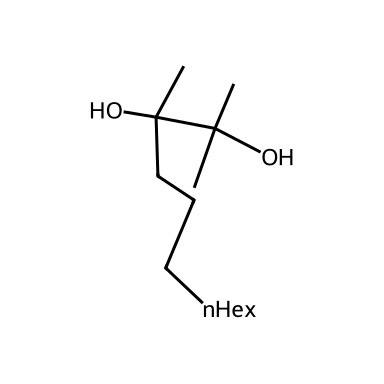 CCCCCCCCCC(C)(O)C(C)(C)O